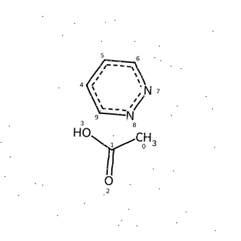 CC(=O)O.c1ccnnc1